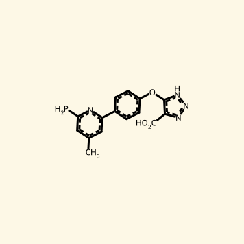 Cc1cc(P)nc(-c2ccc(Oc3[nH]nnc3C(=O)O)cc2)c1